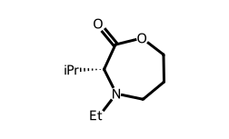 CCN1CCCOC(=O)[C@H]1C(C)C